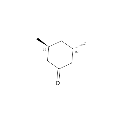 C[C@@H]1CC(=O)C[C@@H](C)C1